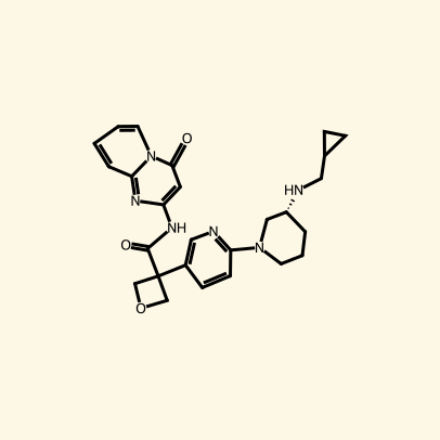 O=C(Nc1cc(=O)n2ccccc2n1)C1(c2ccc(N3CCC[C@@H](NCC4CC4)C3)nc2)COC1